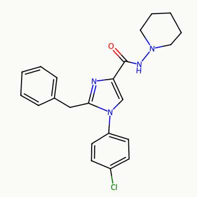 O=C(NN1CCCCC1)c1cn(-c2ccc(Cl)cc2)c(Cc2ccccc2)n1